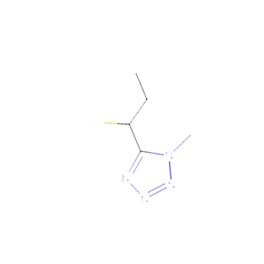 [CH2]CC(S)c1nnnn1C